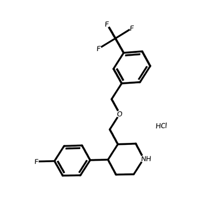 Cl.Fc1ccc(C2CCNCC2COCc2cccc(C(F)(F)F)c2)cc1